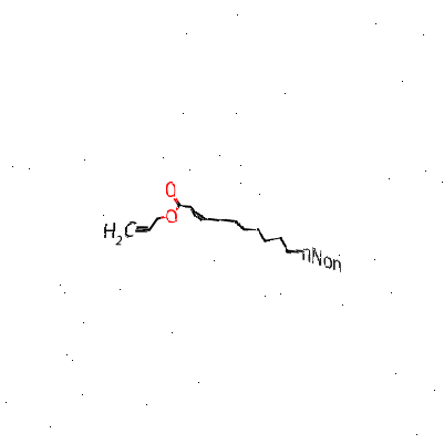 C=CCOC(=O)C=CCCCCCCCCCCCCCCC